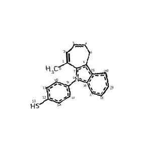 CC1=CC=CCc2c1n(-c1ccc(S)cc1)c1ccccc21